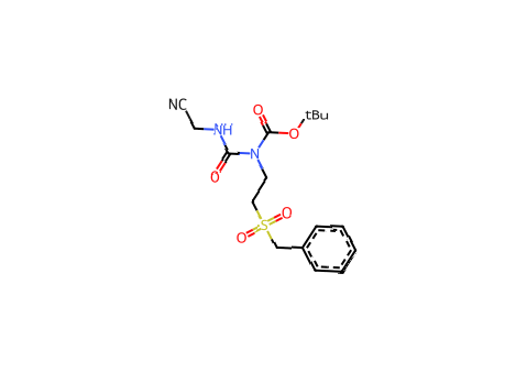 CC(C)(C)OC(=O)N(CCS(=O)(=O)Cc1ccccc1)C(=O)NCC#N